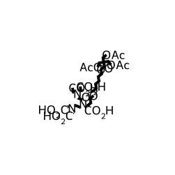 CC(=O)OCC(COC(C)=O)(COC(C)=O)C(=O)OCCCCCCOC(=O)CC(C(=O)O)N(CCN(CC(=O)O)CC(=O)O)CCN(CC(=O)O)CC(=O)O